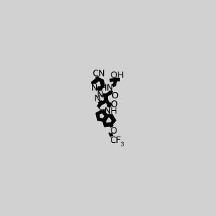 CC(C)(O)CNC(=O)c1c2c(nn1-c1ccc(C#N)cn1)C[C@]1(CCc3cc(OCC(F)(F)F)ccc31)NC2=O